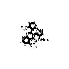 CCCCCCc1cnoc1N(C(=O)c1cnccc1C(F)(F)F)C(=O)c1cnccc1C(F)(F)F